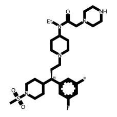 CCN(C(=O)CN1CCNCC1)C1CCN(CC[C@@H](c2cc(F)cc(F)c2)C2CCN(S(C)(=O)=O)CC2)CC1